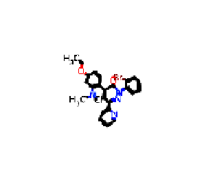 CCOc1ccc(-c2cc(-c3ccccn3)nn(-c3ccccc3Br)c2=O)c(N(C)C)c1